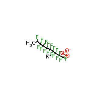 CC(F)C(F)(F)C(F)(F)C(F)(F)C(F)(F)C(F)(F)C(F)(F)C(F)(F)C(F)(F)S(=O)(=O)[O-].[K+]